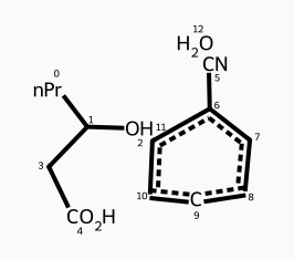 CCCC(O)CC(=O)O.N#Cc1ccccc1.O